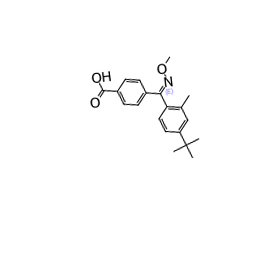 CO/N=C(\c1ccc(C(=O)O)cc1)c1ccc(C(C)(C)C)cc1C